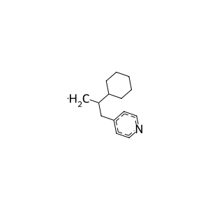 [CH2]C(Cc1ccncc1)C1CCCCC1